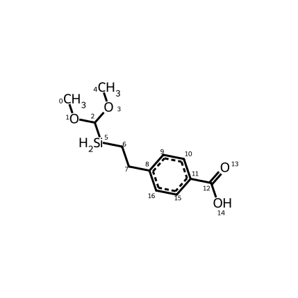 COC(OC)[SiH2]CCc1ccc(C(=O)O)cc1